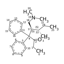 CCC(=O)C(c1ccccc1)(c1ccccc1)[C@@H](CN(C)C)[C@@H](C)CC